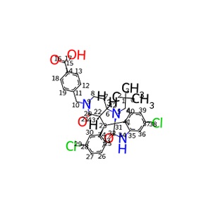 CC(C)(C)CN1[C@H]2CCN(Cc3ccc(C(=O)O)cc3)C(=O)[C@H]2[C@H](c2cccc(Cl)c2)[C@]12C(=O)Nc1cc(Cl)ccc12